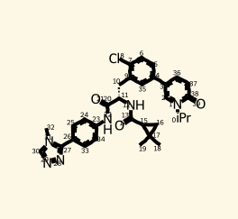 CC(C)n1cc(-c2ccc(Cl)c(C[C@H](NC(=O)C3CC3(C)C)C(=O)Nc3ccc(-c4nncn4C)cc3)c2)ccc1=O